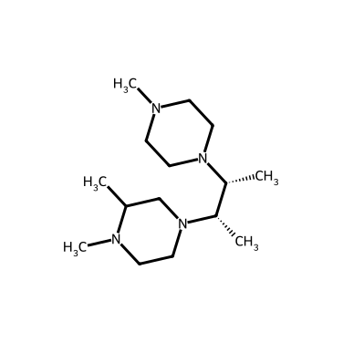 CC1CN([C@@H](C)[C@@H](C)N2CCN(C)CC2)CCN1C